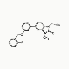 Cn1c(=O)n(CC(C)(C)C)c2ccc(-c3cccc(OCc4ccccc4F)c3)cc21